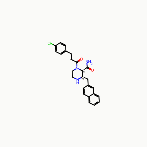 NC(=O)[C@H]1[C@@H](Cc2ccc3ccccc3c2)NCCN1C(=O)[CH]Cc1ccc(Cl)cc1